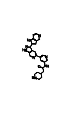 O=C(CC1CCNCC1)Nc1cncc(-c2cc3c(-c4cc5cnccc5[nH]4)n[nH]c3cn2)c1